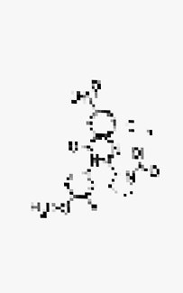 COc1ccc(-n2c(C3CCCN3C(=O)O)nc3c(C)cc([N+](=O)[O-])cc3c2=O)cc1F